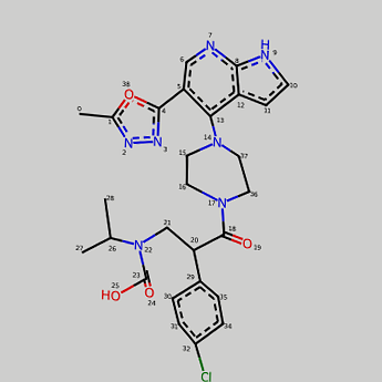 Cc1nnc(-c2cnc3[nH]ccc3c2N2CCN(C(=O)C(CN(C(=O)O)C(C)C)c3ccc(Cl)cc3)CC2)o1